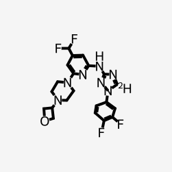 [2H]c1nc(Nc2cc(C(F)F)cc(N3CCN(C4COC4)CC3)n2)nn1-c1ccc(F)c(F)c1